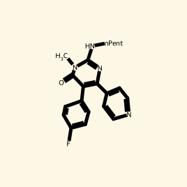 CCCCCNc1nc(-c2ccncc2)c(-c2ccc(F)cc2)c(=O)n1C